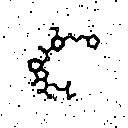 COC(=O)CCC(C(N)=O)N1Cc2c(OC(=O)c3ccc(OCCN4CCCC4)c(OC)c3)cccc2C1=O